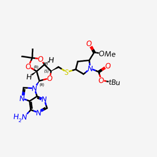 COC(=O)C1CC(SC[C@H]2O[C@@H](n3cnc4c(N)ncnc43)[C@@H]3OC(C)(C)O[C@H]32)CN1C(=O)OC(C)(C)C